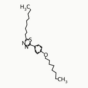 CCCCCCCCCc1nnc(-c2ccc(OCCCCCCCC)cc2)s1